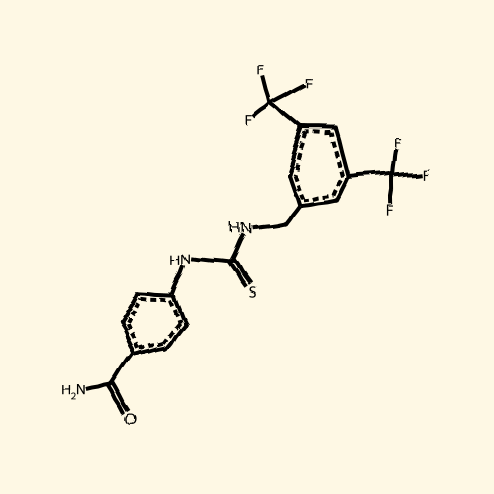 NC(=O)c1ccc(NC(=S)NCc2cc(C(F)(F)F)cc(C(F)(F)F)c2)cc1